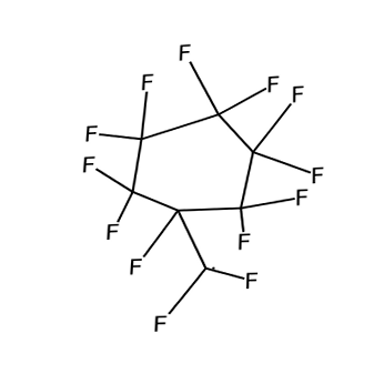 F[C](F)C1(F)C(F)(F)C(F)(F)C(F)(F)C(F)(F)C1(F)F